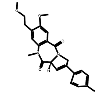 COCCc1cc2c(cc1OC)C(=O)N1CC(c3ccc(C)cc3)=C[C@@H]1C(=O)N2C